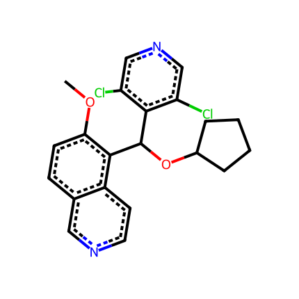 COc1ccc2cnccc2c1C(OC1CCCC1)c1c(Cl)cncc1Cl